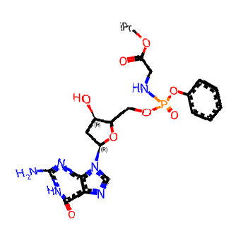 CC(C)OC(=O)CNP(=O)(OCC1O[C@@H](n2cnc3c(=O)[nH]c(N)nc32)C[C@H]1O)Oc1ccccc1